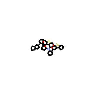 c1cc(-c2ccccc2-c2ccc3ccccc3c2)cc(N(c2ccccc2-c2ccc3sc4ccccc4c3c2)c2cccc3sc4ccccc4c23)c1